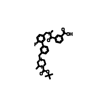 CC1CN(Cc2cccc(-c3cc(CN(C)C(=O)c4cccc(C(=O)O)c4)ccc3F)c2)CCN1C(=O)OC(C)(C)C